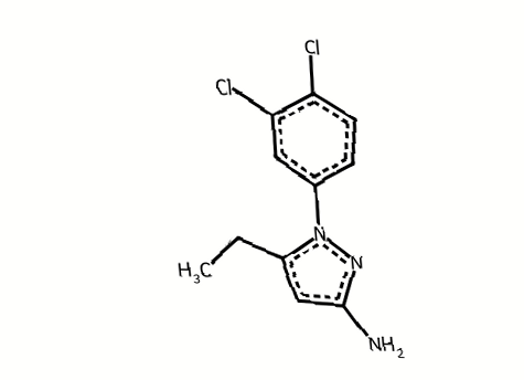 CCc1cc(N)nn1-c1ccc(Cl)c(Cl)c1